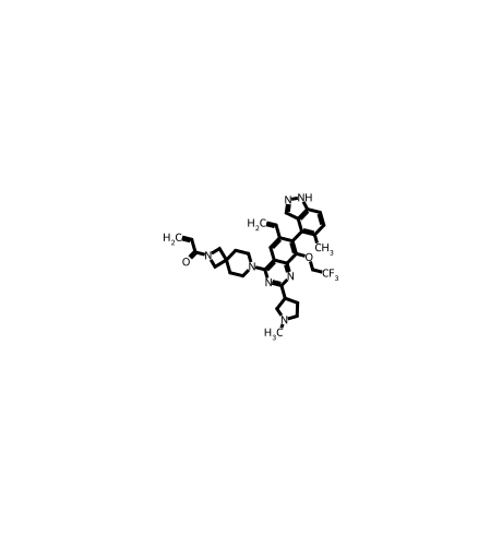 C=CC(=O)N1CC2(CCN(c3nc(C4CCN(C)C4)nc4c(OCC(F)(F)F)c(-c5c(C)ccc6[nH]ncc56)c(C=C)cc34)CC2)C1